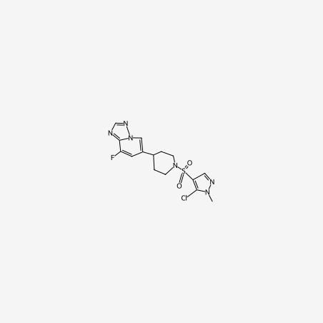 Cn1ncc(S(=O)(=O)N2CCC(c3cc(F)c4ncnn4c3)CC2)c1Cl